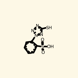 O=S(=O)(O)c1ccccc1-n1nnc(S)n1